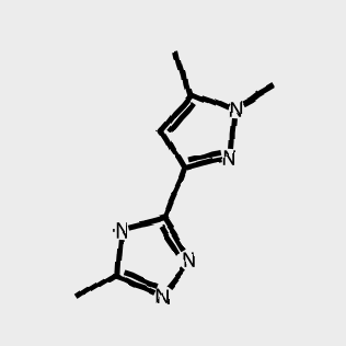 CC1=NN=C(c2cc(C)n(C)n2)[N]1